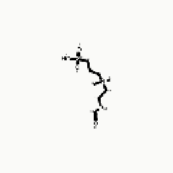 C[N+](C)(CCCS(=O)(=O)O)CCOC=O